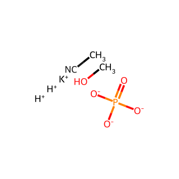 CC#N.CO.O=P([O-])([O-])[O-].[H+].[H+].[K+]